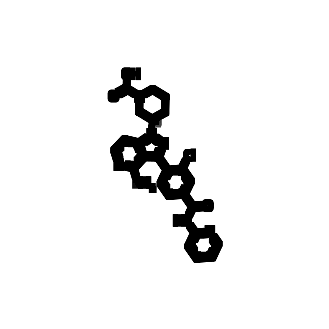 Nc1nccc2c1c(-c1ccc(C(=O)Nc3ccccn3)cc1Cl)nn2[C@@H]1CCCN(C(=O)O)C1